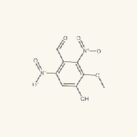 COc1c(O)cc([N+](=O)[O-])c(C=O)c1[N+](=O)[O-]